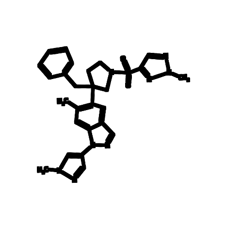 Cc1cc2c(cnn2-c2cnn(C)c2)cc1C1(Cc2ccccc2)CCN(S(=O)(=O)c2cnn(C)n2)C1